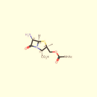 CC(=O)NC(=O)OC[C@]1(C)S[C@@H]2[C@H](N)C(=O)N2[C@H]1C(=O)O